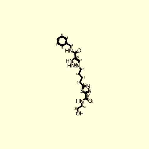 O=C(NCc1ccccc1)C1=CN(CCCCc2nnc(C(=O)NCCO)s2)NN1